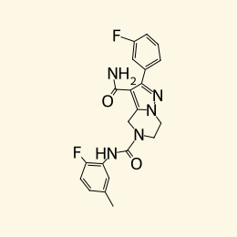 Cc1ccc(F)c(NC(=O)N2CCn3nc(-c4cccc(F)c4)c(C(N)=O)c3C2)c1